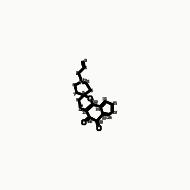 C=CCN1CCC2(CC1)CSC1=C(O2)c2ccccc2C(=O)C1=O